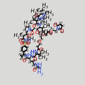 CC[C@H](C)[C@@H]([C@@H](CC(=O)N1CCC[C@H]1[C@H](OC)[C@@H](C)C(=O)NS(=O)(=O)c1ccc(C2(NC(=O)[C@H](CCCNC(N)=O)NC(=O)[C@@H](NC(=O)CCOCCOCCOCCN3C(=O)C=CC3=O)C(C)C)CC2)cc1)OC)N(C)C(=O)[C@@H](NC(=O)[C@H](C(C)C)N(C)C)C(C)C